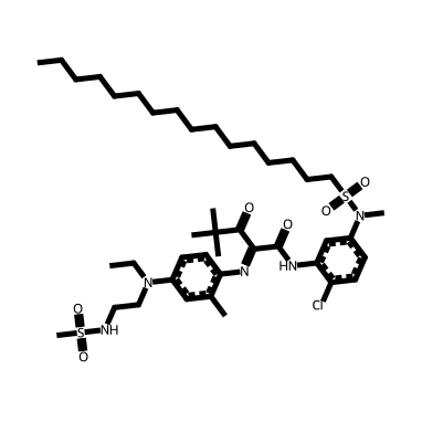 CCCCCCCCCCCCCCCCS(=O)(=O)N(C)c1ccc(Cl)c(NC(=O)C(=Nc2ccc(N(CC)CCNS(C)(=O)=O)cc2C)C(=O)C(C)(C)C)c1